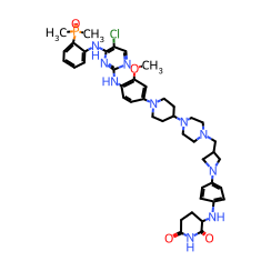 COc1cc(N2CCC(N3CCN(CC4CN(c5ccc(NC6CCC(=O)NC6=O)cc5)C4)CC3)CC2)ccc1Nc1ncc(Cl)c(Nc2ccccc2P(C)(C)=O)n1